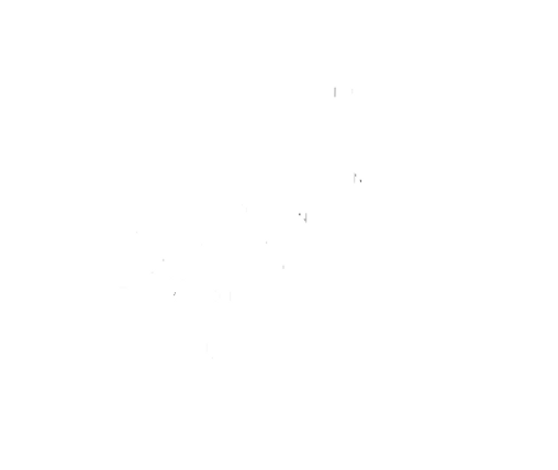 C=CC1(O)CC2CCC1(CS(=O)(=O)N1CCN(c3ccccc3C)CC1)C2(C)C